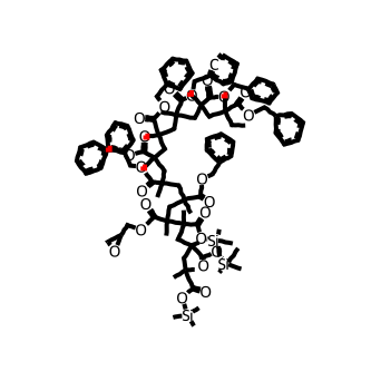 CCC(C)(CC(C)(CC(C)(CC(C)(CC(C)(CC(C)(CC(C)(CC(C)(C(=O)OCC1CO1)C(C)(CC(C)(CC(C)(C)C(=O)O[Si](C)(C)C)C(=O)O[Si](C)(C)C)C(=O)O[Si](C)(C)C)C(=O)OCc1ccccc1)C(=O)OCc1ccccc1)C(=O)OCc1ccccc1)C(=O)OCc1ccccc1)C(=O)OCc1ccccc1)C(=O)OCc1ccccc1)C(=O)OCc1ccccc1